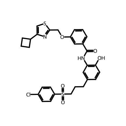 O=C(Nc1cc(CCCS(=O)(=O)c2ccc(Cl)cc2)ccc1O)c1cccc(OCc2nc(C3CCC3)cs2)c1